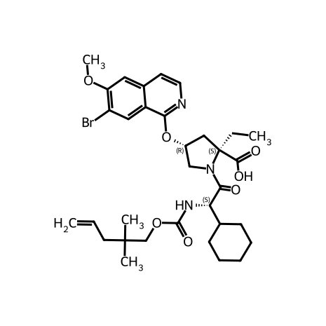 C=CCC(C)(C)COC(=O)N[C@H](C(=O)N1C[C@H](Oc2nccc3cc(OC)c(Br)cc23)C[C@@]1(CC)C(=O)O)C1CCCCC1